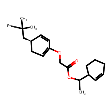 CCC(C)(C)C[C@H]1C=CC(OCC(=O)OC(C)C2C=CCCC2)=CC1